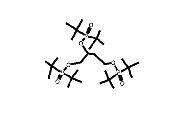 CC(C)(C)P(=O)(OCCC(COP(=O)(C(C)(C)C)C(C)(C)C)OP(=O)(C(C)(C)C)C(C)(C)C)C(C)(C)C